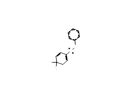 NC1(N)C=CC(S(=O)(=O)Nc2ccccc2)=CC1